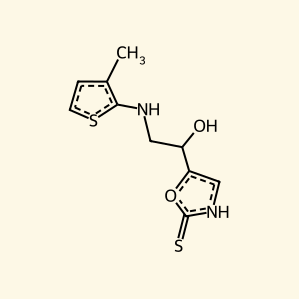 Cc1ccsc1NCC(O)c1c[nH]c(=S)o1